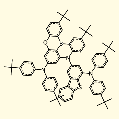 CC(C)(C)c1ccc(N(c2ccc(C(C)(C)C)cc2)c2cc3c4c(c2)N(c2cc(N(c5ccc(C(C)(C)C)cc5)c5ccc(C(C)(C)C)cc5)c5sc6ccccc6c5c2)c2ccc(C(C)(C)C)cc2B4c2cc(C(C)(C)C)ccc2O3)cc1